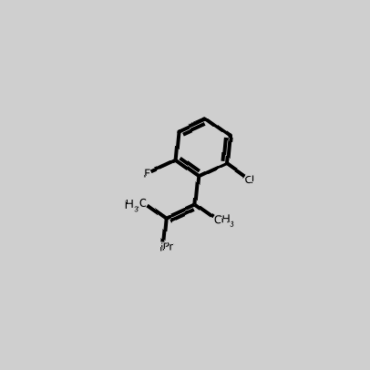 C/C(=C(/C)C(C)C)c1c(F)cccc1Cl